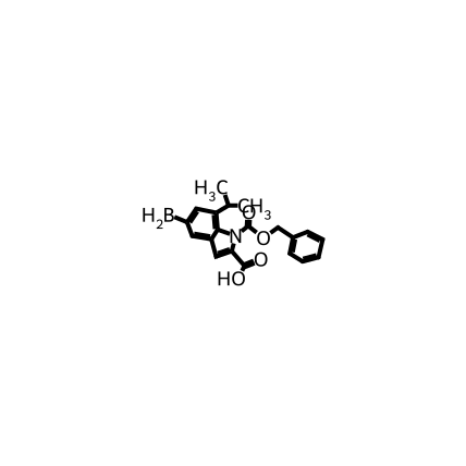 Bc1cc(C(C)C)c2c(c1)cc(C(=O)O)n2C(=O)OCc1ccccc1